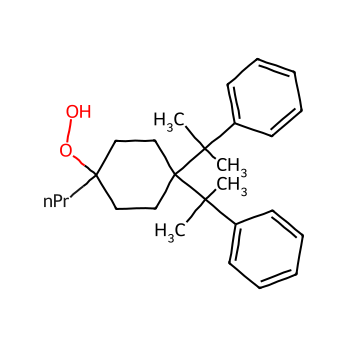 CCCC1(OO)CCC(C(C)(C)c2ccccc2)(C(C)(C)c2ccccc2)CC1